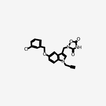 C#CCn1cc(Cn2oc(=O)[nH]c2=O)c2cc(OCc3cccc(Cl)c3)ccc21